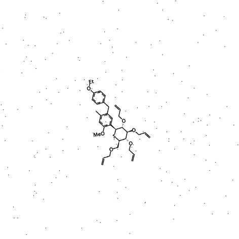 C=CCOC[C@H]1S[C@@H](c2cc(Cc3ccc(OCC)cc3)c(C)cc2OC)[C@H](OCC=C)[C@@H](OCC=C)[C@@H]1OCC=C